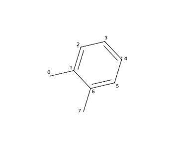 Cc1[c]c[c]cc1C